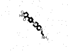 NCCCN1CCC2(CC1)CCN(c1ccc(C3CCC(=O)NC3=O)cc1)CC2